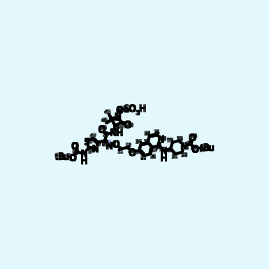 CC(C)(C)OC(=O)Nc1nc(/C(=N/OCCOc2ccc3c(NC4CCN(C(=O)OC(C)(C)C)CC4)nccc3c2)C(=O)N[C@@H]2C(=O)N(OS(=O)(=O)O)C2(C)C)cs1